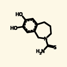 NC(=S)N1CCCc2cc(O)c(O)cc2C1